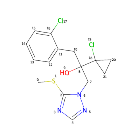 CSc1ncnn1CC(O)(Cc1ccccc1Cl)C1(Cl)CC1